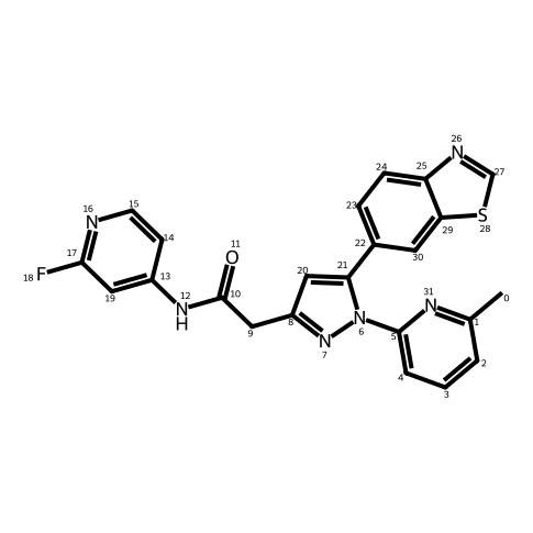 Cc1cccc(-n2nc(CC(=O)Nc3ccnc(F)c3)cc2-c2ccc3ncsc3c2)n1